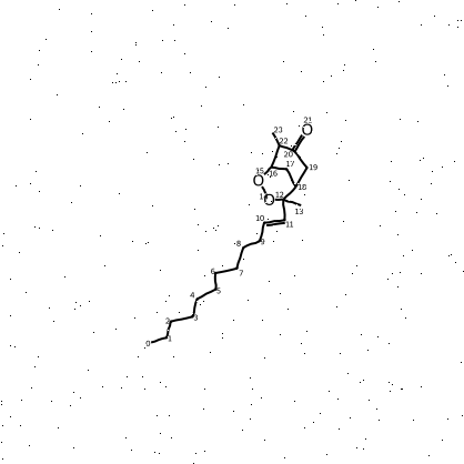 CCCCCCCCCCC=CC1(C)OOC2CC1CC(=O)C2C